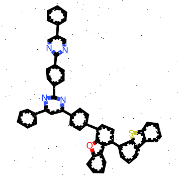 c1ccc(-c2cnc(-c3ccc(-c4nc(-c5ccccc5)cc(-c5ccc(-c6ccc(-c7cccc8c7sc7ccccc78)c7c6oc6ccccc67)cc5)n4)cc3)nc2)cc1